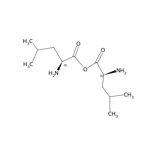 CC(C)C[C@H](N)C(=O)OC(=O)[C@@H](N)CC(C)C